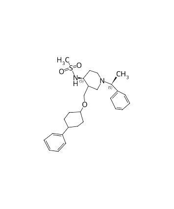 C[C@@H](c1ccccc1)N1CC[C@H](NS(C)(=O)=O)C(COC2CCC(c3ccccc3)CC2)C1